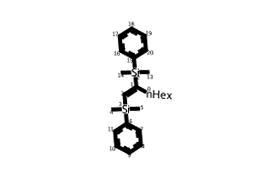 CCCCCCC(=C[Si](C)(C)c1ccccc1)[Si](C)(C)c1ccccc1